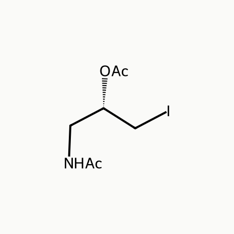 CC(=O)NC[C@@H](CI)OC(C)=O